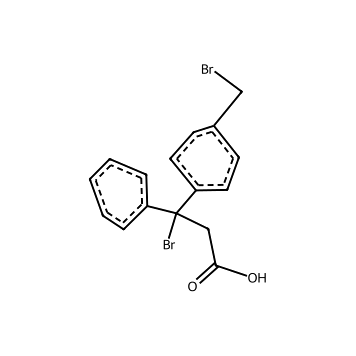 O=C(O)CC(Br)(c1ccccc1)c1ccc(CBr)cc1